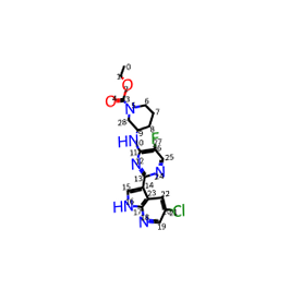 CCOC(=O)N1CCC[C@H](Nc2nc(-c3c[nH]c4ncc(Cl)cc34)ncc2F)C1